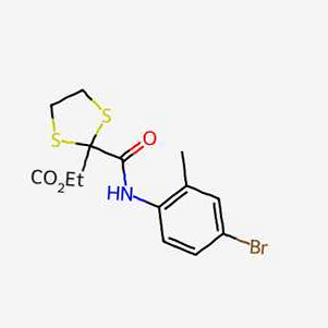 CCOC(=O)C1(C(=O)Nc2ccc(Br)cc2C)SCCS1